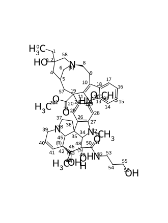 CCC1(O)CC2C[N@](CCc3c([nH]c4ccccc34)C(C(=O)OC)(c3cc4c(cc3OC)N(C)C3C45CCN4CC=C[C@](CC)(C45)[C@@H](O)[C@]3(O)C(=O)NCCCO)C2)C1